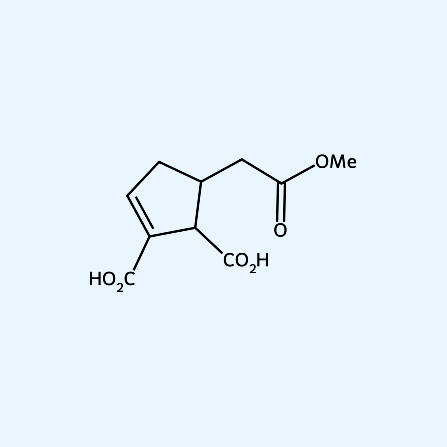 COC(=O)CC1CC=C(C(=O)O)C1C(=O)O